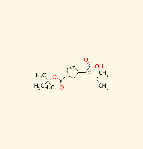 CC(C)C[C@@H](C(=O)O)C1C=CC(C(=O)OC(C)(C)C)C1